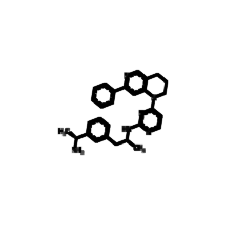 CC(Cc1cccc([C@H](C)N)c1)Nc1nccc(N2CCCc3cnc(-c4ccccc4)cc32)n1